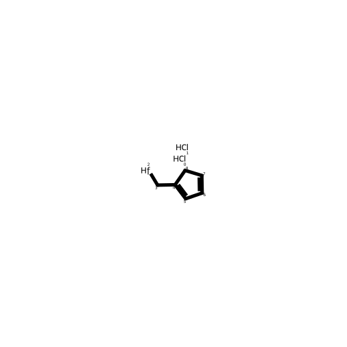 Cl.Cl.[Hf][CH2]C1=CC=CC1